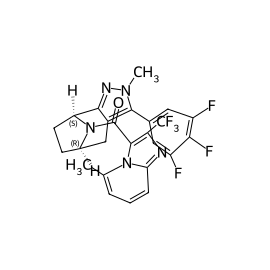 Cc1cccc2nc(C(F)(F)F)c(C(=O)N3[C@@H]4CC[C@H]3c3nn(C)c(-c5cc(F)c(F)c(F)c5)c3C4)n12